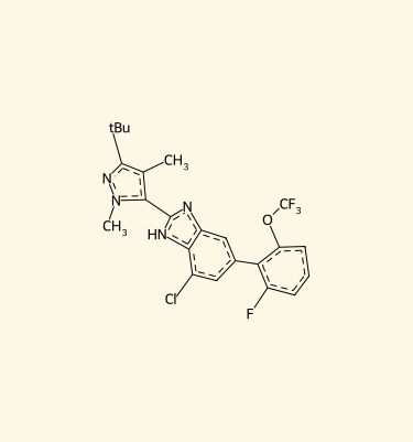 Cc1c(C(C)(C)C)nn(C)c1-c1nc2cc(-c3c(F)cccc3OC(F)(F)F)cc(Cl)c2[nH]1